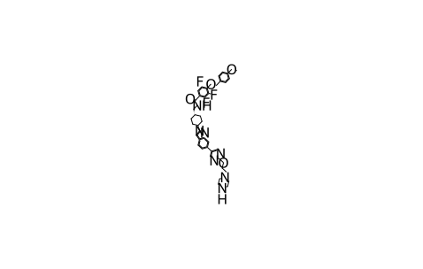 COc1ccc(COc2c(F)cc(C(=O)NC[C@H]3CC[C@H](n4cc5ccc(-c6cnc(OCCN7CCNCC7)nc6)cc5n4)CC3)c(F)c2F)cc1